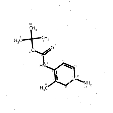 CC1=C(NC(=O)OC(C)(C)C)C=CN(N)C1